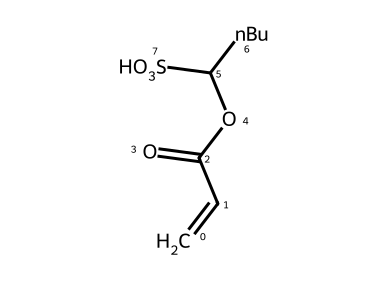 C=CC(=O)OC(CCCC)S(=O)(=O)O